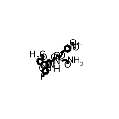 COc1cccc(O)c1-c1cc(C(=O)N[C@@H](CCC(N)=O)C(=O)OCc2ccc([N+](=O)[O-])cc2)nn1C1=C=C=C(F)C=C1